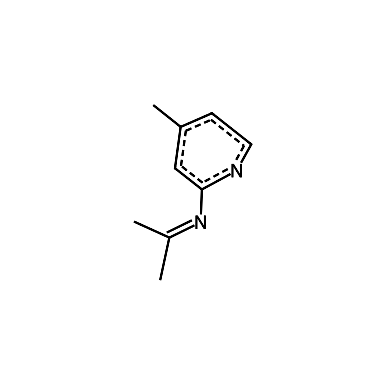 CC(C)=Nc1cc(C)ccn1